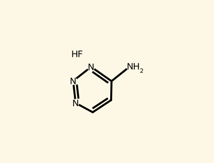 F.Nc1ccnnn1